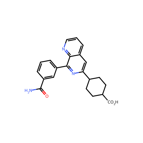 NC(=O)c1cccc(-c2nc(C3CCC(C(=O)O)CC3)cc3cccnc23)c1